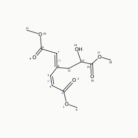 COC(=O)/C=C\C(=C/C(=O)OC)CC(O)C(=O)OC